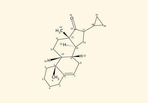 C[C@]12CCCCC1=CC[C@@H]1[C@H]2CC[C@]2(C)C(=O)C(C3CC3)C[C@@H]12